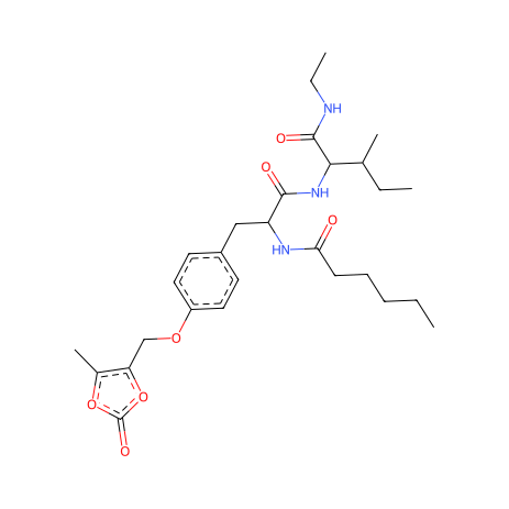 CCCCCC(=O)NC(Cc1ccc(OCc2oc(=O)oc2C)cc1)C(=O)NC(C(=O)NCC)C(C)CC